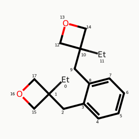 CCC1(Cc2ccccc2CC2(CC)COC2)COC1